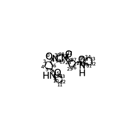 O=C(c1cccc(C2Nc3ccccc3O2)c1)N1CCN(C(=O)c2cccc(C3Nc4ccccc4O3)c2)CC1